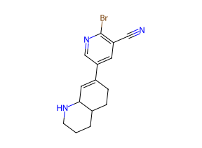 N#Cc1cc(C2=CC3NCCCC3CC2)cnc1Br